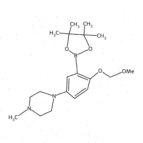 COCOc1ccc(N2CCN(C)CC2)cc1B1OC(C)(C)C(C)(C)O1